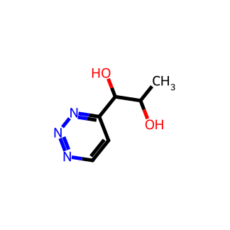 CC(O)C(O)c1ccnnn1